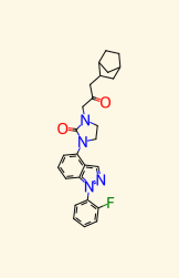 O=C(CC1CC2CCC1C2)CN1CCN(c2cccc3c2cnn3-c2ccccc2F)C1=O